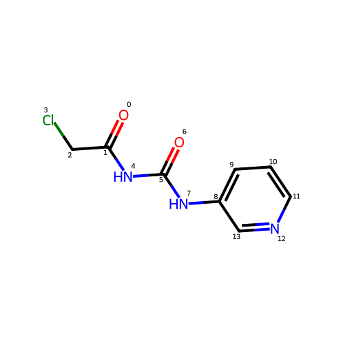 O=C(CCl)NC(=O)Nc1cccnc1